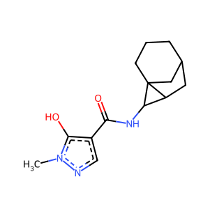 Cn1ncc(C(=O)NC2C3CC4CCCC32C4)c1O